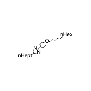 CCCCCC/C=C\CCCCOc1ccc(-c2ncc(CCCCCCC)cn2)cc1